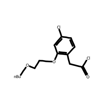 CCCCOCCOc1cc(Cl)ccc1CC(=O)Cl